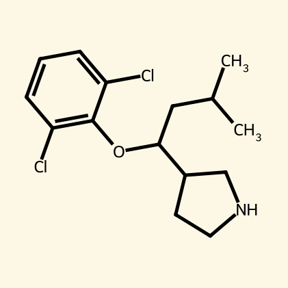 CC(C)CC(Oc1c(Cl)cccc1Cl)C1CCNC1